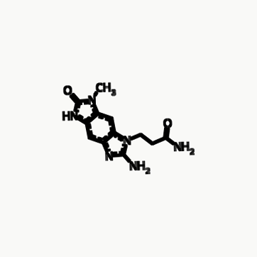 Cn1c(=O)[nH]c2cc3nc(N)n(CCC(N)=O)c3cc21